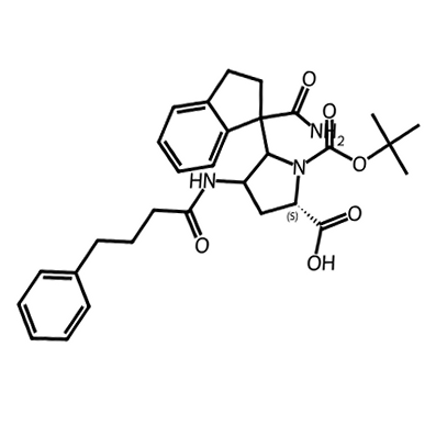 CC(C)(C)OC(=O)N1C(C2(C(N)=O)CCc3ccccc32)C(NC(=O)CCCc2ccccc2)C[C@H]1C(=O)O